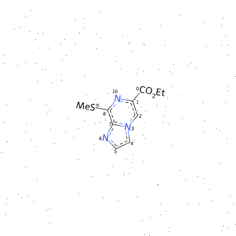 CCOC(=O)c1cn2ccnc2c(SC)n1